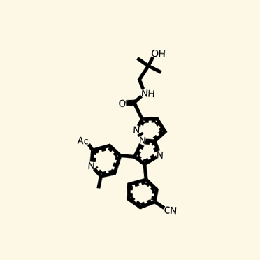 CC(=O)c1cc(-c2c(-c3cccc(C#N)c3)nc3ccc(C(=O)NCC(C)(C)O)nn23)cc(C)n1